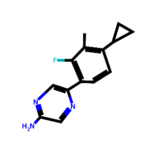 Cc1c(C2CC2)ccc(-c2cnc(N)cn2)c1F